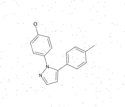 Cc1ccc(-c2ccnn2-c2ccc(Cl)cc2)cc1